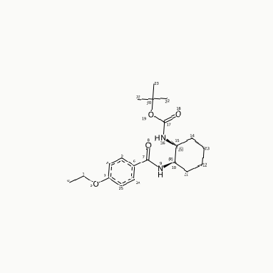 CCOc1ccc(C(=O)N[C@@H]2CCCC[C@@H]2NC(=O)OC(C)(C)C)cc1